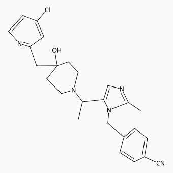 Cc1ncc(C(C)N2CCC(O)(Cc3cc(Cl)ccn3)CC2)n1Cc1ccc(C#N)cc1